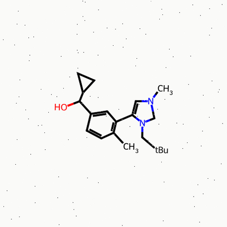 Cc1ccc(C(O)C2CC2)cc1C1=CN(C)CN1CC(C)(C)C